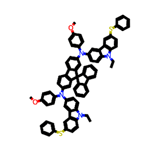 CCn1c2ccc(Sc3ccccc3)cc2c2cc(N(c3ccc(OC)cc3)c3ccc4c(c3)C3(c5ccccc5-c5ccccc53)c3cc(N(c5ccc(OC)cc5)c5ccc6c(c5)c5cc(Sc7ccccc7)ccc5n6CC)ccc3-4)ccc21